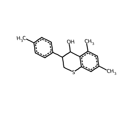 Cc1ccc(C2CSc3cc(C)cc(C)c3C2O)cc1